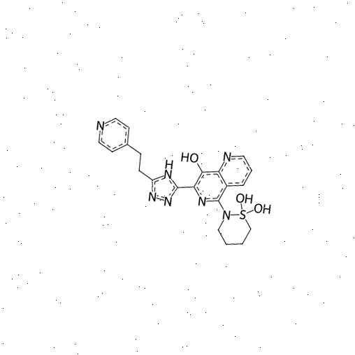 Oc1c(-c2nnc(CCc3ccncc3)[nH]2)nc(N2CCCCS2(O)O)c2cccnc12